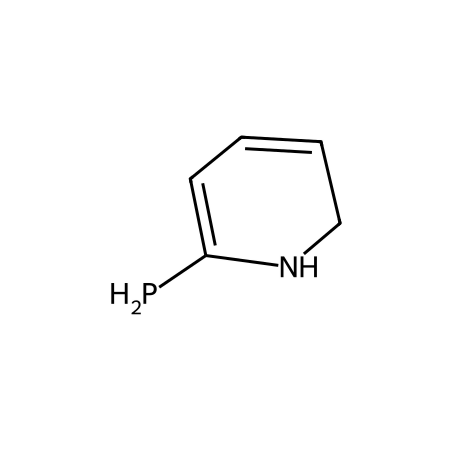 PC1=CC=CCN1